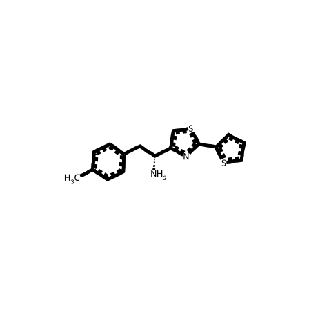 Cc1ccc(C[C@@H](N)c2csc(-c3cccs3)n2)cc1